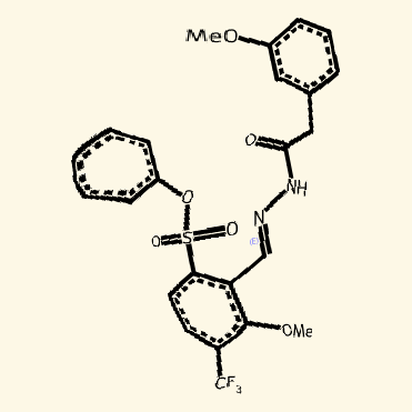 COc1cccc(CC(=O)N/N=C/c2c(S(=O)(=O)Oc3ccccc3)ccc(C(F)(F)F)c2OC)c1